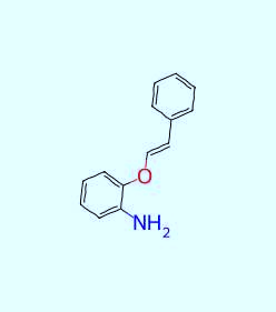 Nc1ccccc1OC=Cc1ccccc1